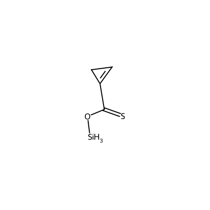 [SiH3]OC(=S)C1=CC1